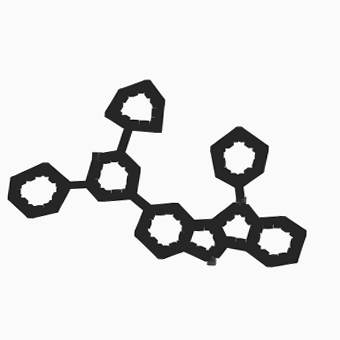 c1ccc(-c2cc(-c3ccc4sc5c6ccccc6n(-c6ccccc6)c5c4c3)cc(-c3ccccc3)n2)cc1